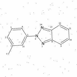 Cc1cc[c]c(-n2nc3ccccc3n2)c1